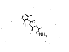 C=C(CC(C)ON)NC(=O)c1c(C)cccc1C